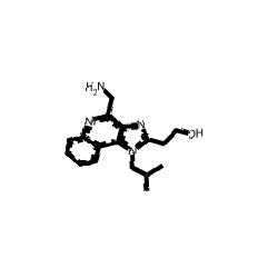 CC(C)Cn1c(CCO)nc2c(CN)nc3ccccc3c21